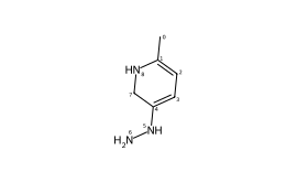 CC1=CC=C(NN)CN1